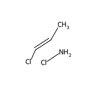 CC=CCl.NCl